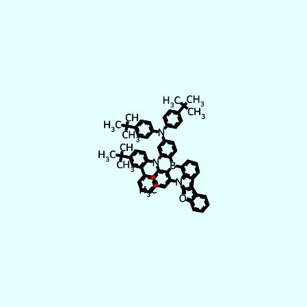 Cc1cc2c3c(c1)-n1c4oc5ccccc5c4c4cccc(c41)B3c1ccc(N(c3ccc(C(C)(C)C)cc3)c3ccc(C(C)(C)C)cc3)cc1N2c1ccc(C(C)(C)C)cc1-c1ccccc1